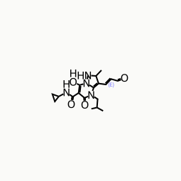 CC(C)CN1C(=O)C(C(=O)NC2CC2)=C(O)N2NC(C)C(/C=C/C=O)=C12